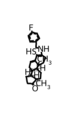 C[C@]12CCC3=C([SH]=C(c4ccc(F)cc4)N3)C1=CC[C@@H]1[C@@H]2CC[C@]2(C)C(=O)CC[C@@H]12